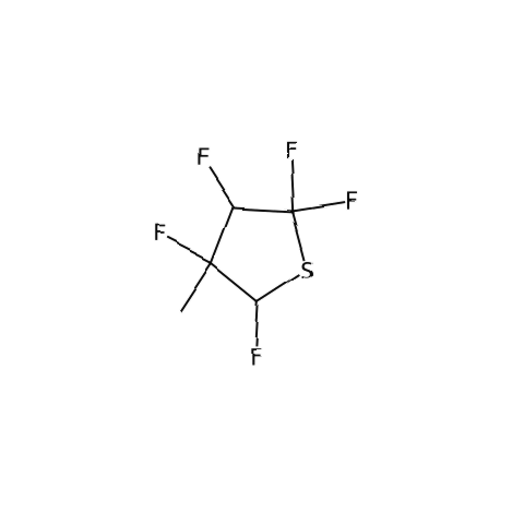 CC1(F)C(F)SC(F)(F)C1F